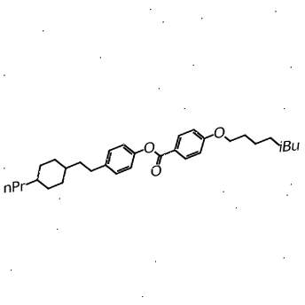 CCCC1CCC(CCc2ccc(OC(=O)c3ccc(OCCCCC(C)CC)cc3)cc2)CC1